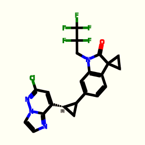 O=C1N(CC(F)(F)C(F)(F)F)c2cc(C3C[C@@H]3c3cc(Cl)nn4ccnc34)ccc2C12CC2